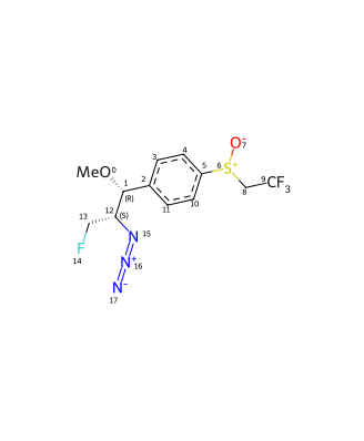 CO[C@H](c1ccc([S+]([O-])CC(F)(F)F)cc1)[C@@H](CF)N=[N+]=[N-]